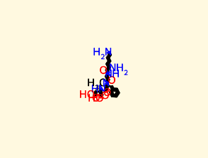 CN(C(=O)CNC(=O)[C@H](N)CCCCN)[C@@H](Cc1ccccc1)C(=O)N[C@H](CC(=O)O)C(=O)O